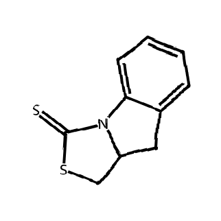 S=C1SCC2Cc3ccccc3N12